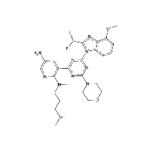 COc1cccc2c1nc(C(F)F)n2-c1nc(-c2cc(N)cnc2N(C)CCCN(C)C)nc(N2CCOCC2)n1